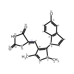 Cc1nn(C)c(-n2ccc3cc(Cl)ccc32)c1/C=C1\SC(=O)NC1=O